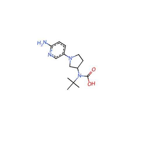 CC(C)(C)N(C(=O)O)C1CCN(c2ccc(N)nc2)C1